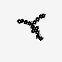 c1ccc(-c2nnc(-c3ccc(-c4ccccc4-c4ccccc4-c4ccc(N(c5ccc(-c6ccc(-c7ccc8ccccc8c7)cc6)cc5)c5ccc(-c6ccc(-c7ccc8ccccc8c7)cc6)cc5)cc4)cc3)o2)cc1